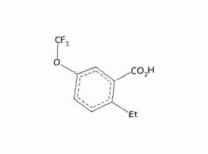 CCc1ccc(OC(F)(F)F)cc1C(=O)O